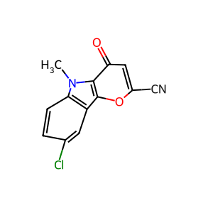 Cn1c2ccc(Cl)cc2c2oc(C#N)cc(=O)c21